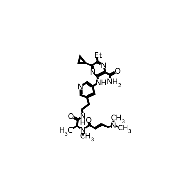 CCc1nc(C(N)=O)c(Nc2cncc(CCNC(=O)C(C)N(C)C(=O)C=CCN(C)C)c2)nc1C1CC1